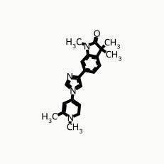 CC1=CC(n2cnc(-c3ccc4c(c3)N(C)C(=O)C4(C)C)c2)=CCN1C